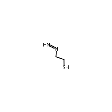 N=NCCS